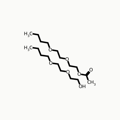 CCCCOCCOCCO.CCCCOCCOCCOC(C)=O